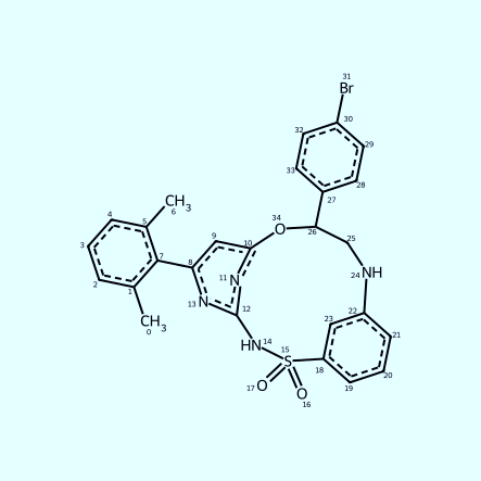 Cc1cccc(C)c1-c1cc2nc(n1)NS(=O)(=O)c1cccc(c1)NCC(c1ccc(Br)cc1)O2